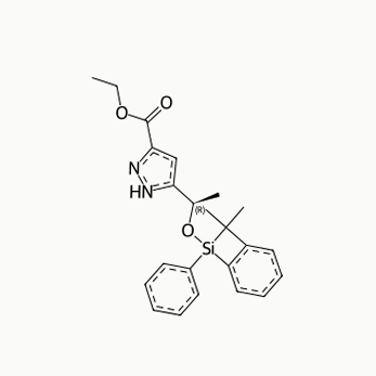 CCOC(=O)c1cc([C@@H](C)O[Si]2(c3ccccc3)c3ccccc3C2(C)C)[nH]n1